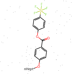 CCCCCCCOc1ccc(C(=O)Oc2ccc(S(F)(F)(F)(F)F)cc2)cc1